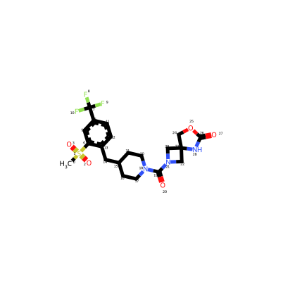 CS(=O)(=O)c1cc(C(F)(F)F)ccc1CC1CCN(C(=O)N2CC3(COC(=O)N3)C2)CC1